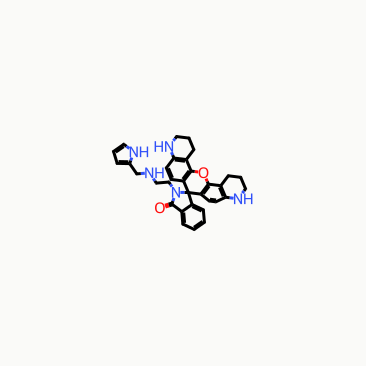 O=C1c2ccccc2C2(c3ccc4c(c3Oc3c2ccc2c3CCCN2)CCCN4)N1CCNCc1ccc[nH]1